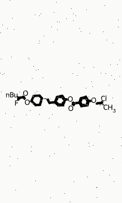 CCCC[C@H](F)C(=O)O[C@H]1CC[C@H](CCc2ccc(OC(=O)c3ccc(OC[C@@H](C)Cl)cc3)cc2)CC1